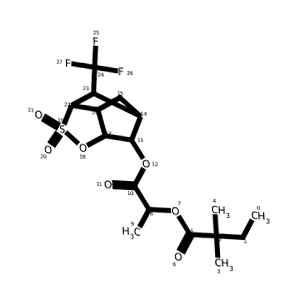 CCC(C)(C)C(=O)OC(C)C(=O)OC1C2CC3C1OS(=O)(=O)C3C2C(F)(F)F